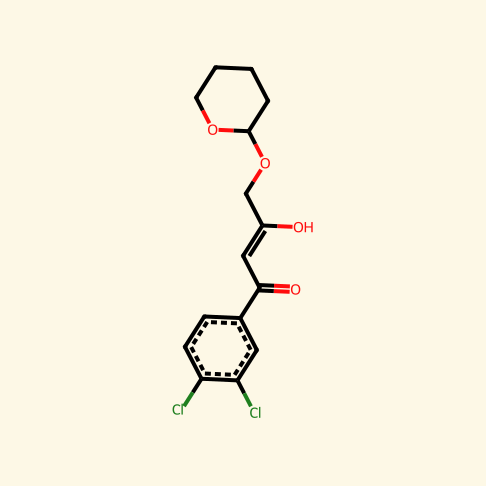 O=C(C=C(O)COC1CCCCO1)c1ccc(Cl)c(Cl)c1